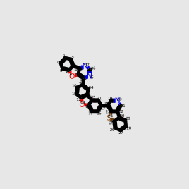 c1ccc2c(c1)oc1c(-c3ccc4oc5ccc(-c6cncc7c6sc6ccccc67)cc5c4c3)ncnc12